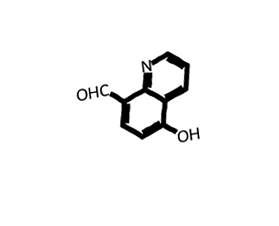 O=Cc1ccc(O)c2cccnc12